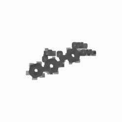 CCCCOc1c/c(=N\C(=O)c2ccc(OC)c(OC)c2)cnn1-c1ccccc1